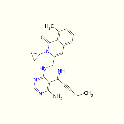 CCC#CC(=N)c1c(N)ncnc1NCc1cc2cccc(C)c2c(=O)n1C1CC1